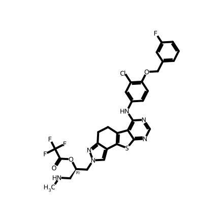 CNC[C@H](Cn1cc2c(n1)CCc1c-2sc2ncnc(Nc3ccc(OCc4cccc(F)c4)c(Cl)c3)c12)OC(=O)C(F)(F)F